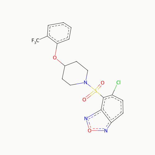 O=S(=O)(c1c(Cl)ccc2nonc12)N1CCC(Oc2ccccc2C(F)(F)F)CC1